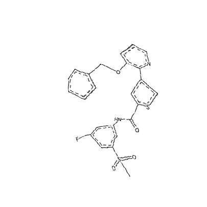 CS(=O)(=O)c1cc(F)cc(NC(=O)c2cc(-c3ncccc3OCc3ccccc3)cs2)c1